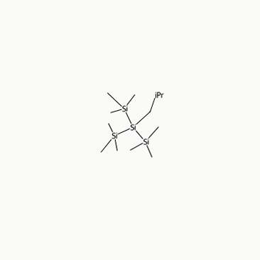 CC(C)C[Si]([Si](C)(C)C)([Si](C)(C)C)[Si](C)(C)C